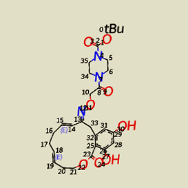 CC(C)(C)OC(=O)N1CCN(C(=O)CON=C2/C=C/CC/C=C/CCOC(=O)c3c(O)cc(O)cc3C2)CC1